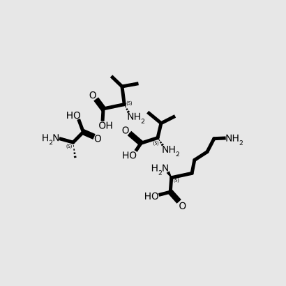 CC(C)[C@H](N)C(=O)O.CC(C)[C@H](N)C(=O)O.C[C@H](N)C(=O)O.NCCCC[C@H](N)C(=O)O